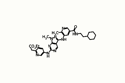 CCOC(=O)Cc1ccc(Nc2ncc3c(Nc4cc(C(=O)NCCC5CCCCC5)cnc4C)nn(C)c3n2)cn1